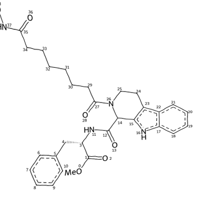 COC(=O)[C@H](Cc1ccccc1)NC(=O)C1c2[nH]c3ccccc3c2CCN1C(=O)CCCCCCC(=O)NO